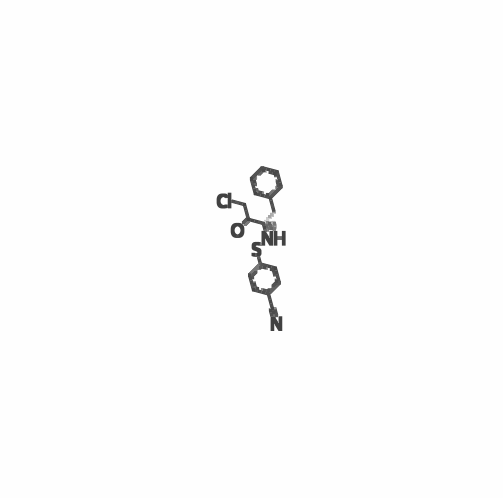 N#Cc1ccc(SN[C@@H](Cc2ccccc2)C(=O)CCl)cc1